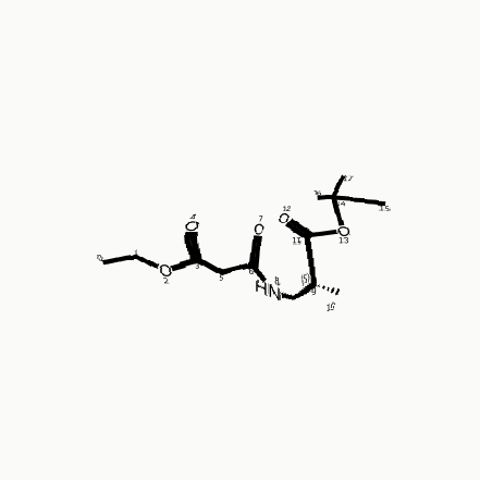 CCOC(=O)CC(=O)N[C@@H](C)C(=O)OC(C)(C)C